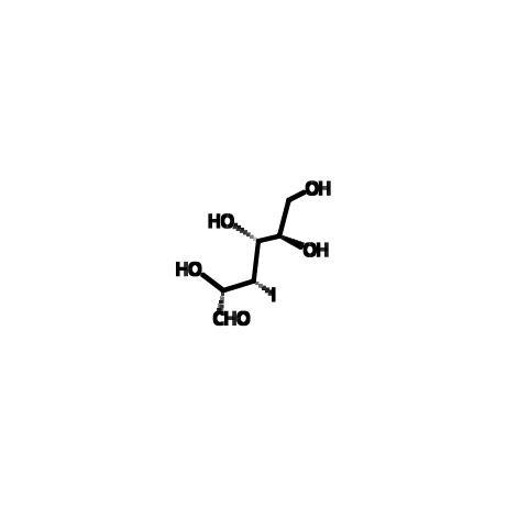 O=C[C@H](O)[C@@H](I)[C@H](O)[C@H](O)CO